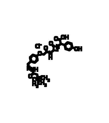 C[N+](C)(C)CC(=O)N/N=C\c1ccc(OCC(=O)NC2CN(C(C(=O)O)c3ccc(O)cc3)C2=O)cc1.[Cl-]